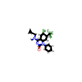 CN(CC1CC1)c1nc(=O)n(-c2ccccc2)c2cc(C(F)(F)F)c(Br)cc12